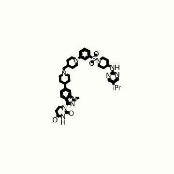 CC(C)c1cnc(NC2CCN(S(=O)(=O)c3cccc(N4CCC(CN5CCC(c6ccc7c(N8CCC(=O)NC8=O)nn(C)c7c6)CC5)CC4)c3)CC2)nc1